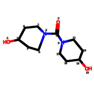 O=C(N1CCC(O)CC1)N1CCC(O)CC1